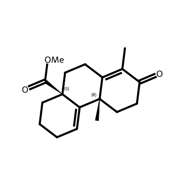 COC(=O)[C@]12CCCC=C1[C@@]1(C)CCC(=O)C(C)=C1CC2